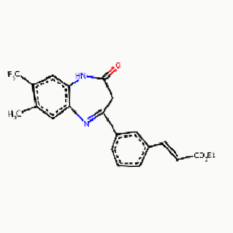 CCOC(=O)C=Cc1cccc(C2=Nc3cc(C)c(C(F)(F)F)cc3NC(=O)C2)c1